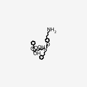 NCCCCc1ccc(OCCN(CCCc2ccccc2)CC[C@@H](O)C[C@@H]2OC(c3ccccc3)OC[C@H]2O)cc1